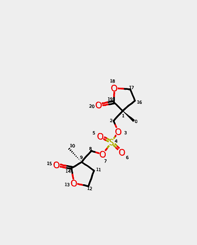 C[C@]1(COS(=O)(=O)OC[C@@]2(C)CCOC2=O)CCOC1=O